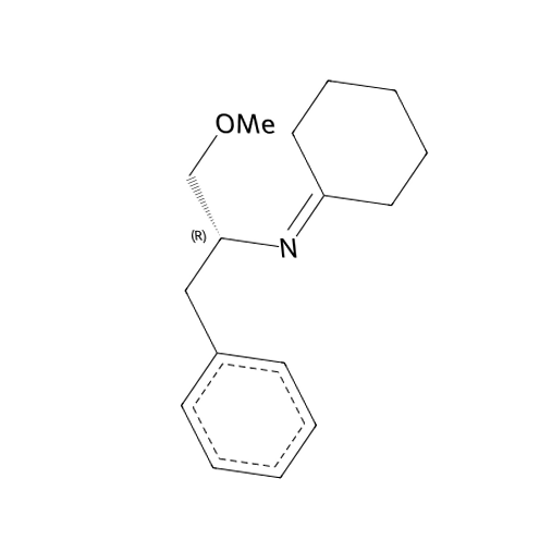 COC[C@@H](Cc1ccccc1)N=C1CCCCC1